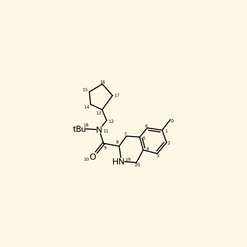 Cc1ccc2c(c1)CC(C(=O)N(CC1CCCC1)C(C)(C)C)NC2